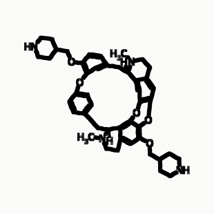 CN1CCc2cc3c4cc2[C@@H]1Cc1ccc(OCC2CCNCC2)c(c1)Oc1ccc(cc1)C[C@H]1c2c(cc(OCC5CCNCC5)c(c2O4)O3)CCN1C